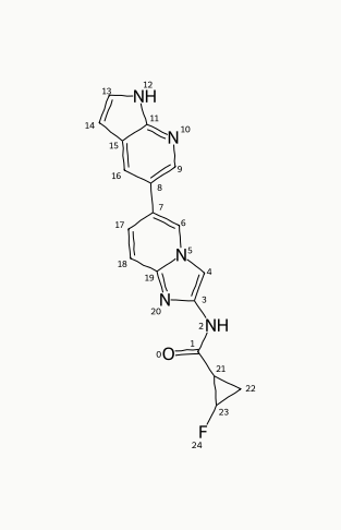 O=C(Nc1cn2cc(-c3cnc4[nH]ccc4c3)ccc2n1)C1CC1F